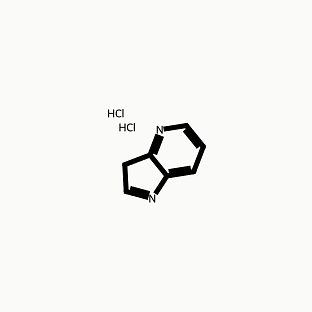 C1=Nc2cccnc2C1.Cl.Cl